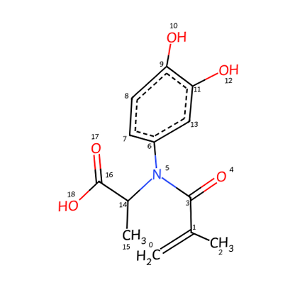 C=C(C)C(=O)N(c1ccc(O)c(O)c1)C(C)C(=O)O